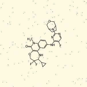 Cn1c(=O)c2c(c3cc(Nc4nc(N5C6CCC5COC6)ncc4F)ccc31)NC(C1CC1)C(F)(F)CO2